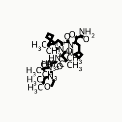 CC1(C)CN(C[C@@H](NC(=O)N[C@H](C(=O)N2C[C@]3(C[C@H]2C(=O)NC(CC2CCC2)C(=O)C(N)=O)C(C)(C)C32CCC2)C(C)(C)C)C(C)(C)C)CCO1